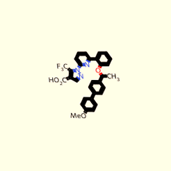 COc1ccc(-c2ccc(C(C)Oc3ccccc3-c3cccc(-n4ncc(C(=O)O)c4C(F)(F)F)n3)cc2)cc1